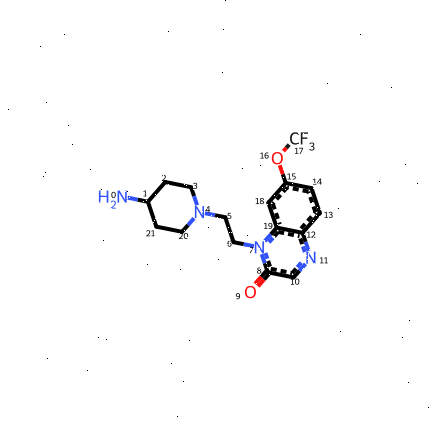 NC1CCN(CCn2c(=O)cnc3ccc(OC(F)(F)F)cc32)CC1